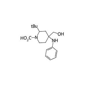 CC(C)(C)C1CC(CO)(Nc2ccccc2)CCN1C(=O)O